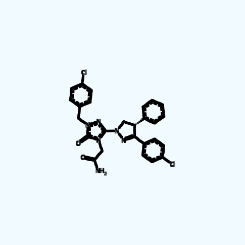 NC(=O)Cn1c(N2C[C@H](c3ccccc3)C(c3ccc(Cl)cc3)=N2)nn(Cc2ccc(Cl)cc2)c1=O